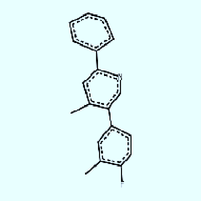 Cc1cc(-c2cnc(-c3ccccc3)cc2C)ccc1F